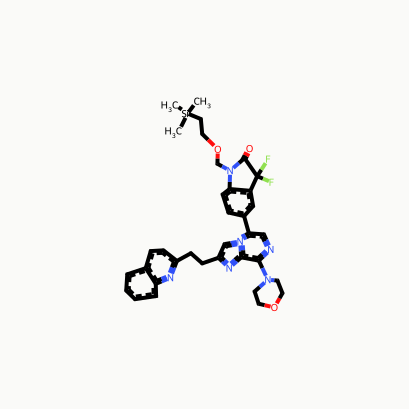 C[Si](C)(C)CCOCN1C(=O)C(F)(F)c2cc(-c3cnc(N4CCOCC4)c4nc(CCc5ccc6ccccc6n5)cn34)ccc21